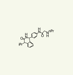 CCCNCC(=O)Nc1ccc(C2NC(=O)C(C(C)C)c3ccccc32)cc1